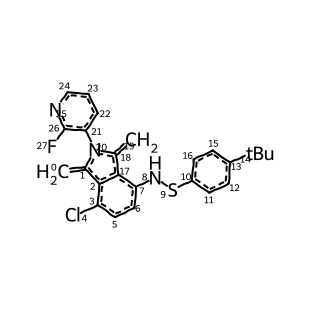 C=c1c2c(Cl)ccc(NSc3ccc(C(C)(C)C)cc3)c2c(=C)n1-c1cccnc1F